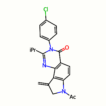 C=C1CN(C(C)=O)c2ccc3c(=O)n(-c4ccc(Cl)cc4)c(C(C)C)nc3c21